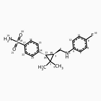 CC1(C)[C@H](CNc2ccc(F)cc2)[C@H]1c1ccc(S(N)(=O)=O)cc1